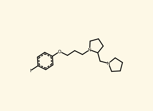 Ic1ccc(OCCCN2CCCC2CN2CCCC2)cc1